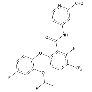 O=Cc1cc(NC(=O)c2c(Oc3ccc(F)cc3OC(F)F)ccc(C(F)(F)F)c2F)ccn1